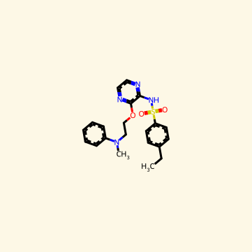 CCc1ccc(S(=O)(=O)Nc2nccnc2OCCN(C)c2ccccc2)cc1